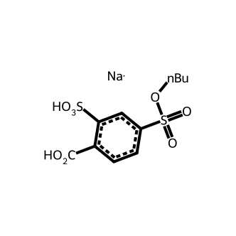 CCCCOS(=O)(=O)c1ccc(C(=O)O)c(S(=O)(=O)O)c1.[Na]